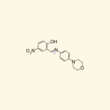 O=[N+]([O-])c1ccc(O)c(/C=N/c2ccc(N3CCOCC3)cc2)c1